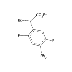 CCOC(=O)C(CC)c1cc(F)c(N)cc1F